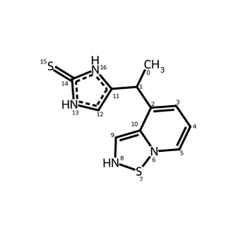 CC(C1=CC=CN2SNC=C12)c1c[nH]c(=S)[nH]1